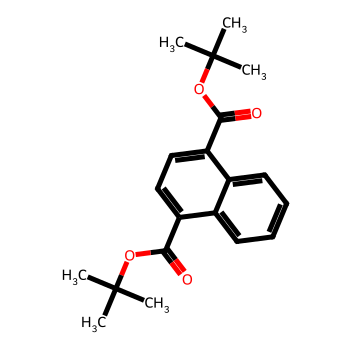 CC(C)(C)OC(=O)c1ccc(C(=O)OC(C)(C)C)c2ccccc12